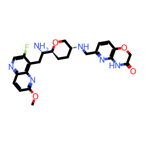 COc1ccc2ncc(F)c(C[C@H](N)[C@@H]3CC[C@@H](NCc4ccc5c(n4)NC(=O)CO5)CO3)c2n1